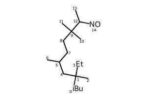 CCC(C)C(C)(CC)CC(C)CCC(C)(C)C(C)N=O